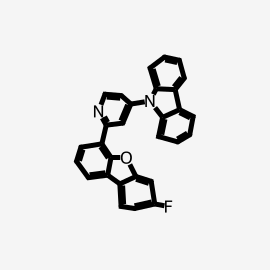 Fc1ccc2c(c1)oc1c(-c3cc(-n4c5ccccc5c5ccccc54)ccn3)cccc12